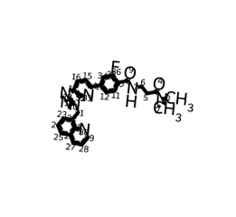 CN(C)C(=O)CCNC(=O)c1ccc(-c2ccc3nnn(Cc4cccc5cccnc45)c3n2)cc1F